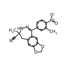 Cc1cc(C2=NNC(C)(C#N)Cc3cc4c(cc32)OCO4)ccc1[N+](=O)[O-]